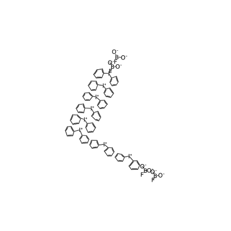 [O-]B([O-])F.[O-]B([O-])F.[O-]B([O-])F.[O-]B([O-])F.c1ccc([I+]c2ccccc2)cc1.c1ccc([I+]c2ccccc2)cc1.c1ccc([I+]c2ccccc2)cc1.c1ccc([I+]c2ccccc2)cc1.c1ccc([I+]c2ccccc2)cc1.c1ccc([I+]c2ccccc2)cc1.c1ccc([I+]c2ccccc2)cc1.c1ccc([I+]c2ccccc2)cc1